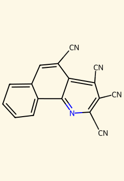 N#Cc1nc2c(c(C#N)cc3ccccc32)c(C#N)c1C#N